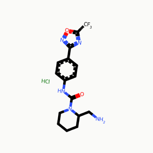 Cl.NCC1CCCCN1C(=O)Nc1ccc(-c2noc(C(F)(F)F)n2)cc1